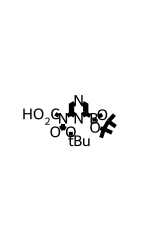 CC(C)(C)OC(=O)N(C(=O)O)c1cncc(B2OC(C)(C)C(C)(C)O2)n1